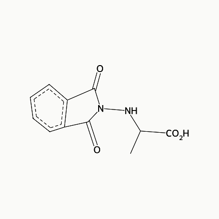 CC(NN1C(=O)c2ccccc2C1=O)C(=O)O